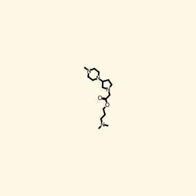 CN(C)CCCOC(=O)CN1CCC(N2CCN(C)CC2)C1